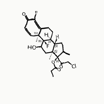 CCC(=O)O[C@]1(C(=O)CCl)C(C)C[C@H]2[C@@H]3CCC4=C(F)C(=O)C=C[C@]4(C)[C@@]3(F)C(O)C[C@@]21C